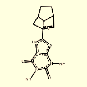 CCCn1c(=O)c2[nH]c(C3=CC4CCC(C3)C4C(=O)O)nc2n(CCC)c1=O